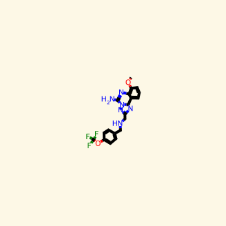 COc1cccc2c1nc(N)n1nc(CNCc3ccc(OC(F)(F)F)cc3)nc21